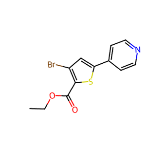 CCOC(=O)c1sc(-c2ccncc2)cc1Br